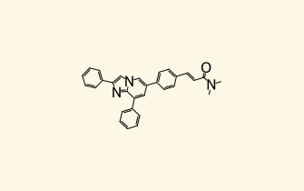 CN(C)C(=O)C=Cc1ccc(-c2cc(-c3ccccc3)c3nc(-c4ccccc4)cn3c2)cc1